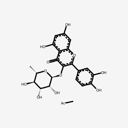 CC(C)=O.C[C@@H]1O[C@@H](Oc2c(-c3ccc(O)c(O)c3)oc3cc(O)cc(O)c3c2=O)[C@H](O)[C@H](O)[C@H]1O